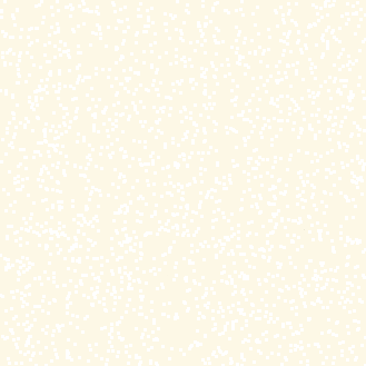 Cc1cc(C(F)=C(F)F)cc(C)c1CC1CCC(CC2CCC(CC3CCC(Cc4cc(F)c(C)c(F)c4)CC3)CC2)CC1